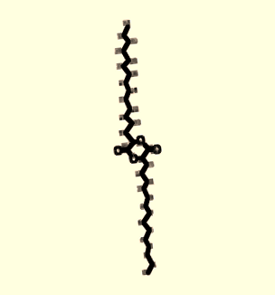 CCCCCCCCCCCCCCC1OC(=O)C(CCCCCCCCCCCCCC)OC1=O